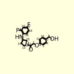 O=C(COc1ccc(CO)cc1)N1CCC(Nc2ccc(F)cc2F)C1